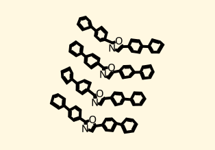 c1ccc(-c2ccc(-c3cnc(-c4ccc(-c5ccccc5)cc4)o3)cc2)cc1.c1ccc(-c2ccc(-c3cnc(-c4ccc(-c5ccccc5)cc4)o3)cc2)cc1.c1ccc(-c2ccc(-c3cnc(-c4ccc(-c5ccccc5)cc4)o3)cc2)cc1.c1ccc(-c2ccc(-c3cnc(-c4ccc(-c5ccccc5)cc4)o3)cc2)cc1